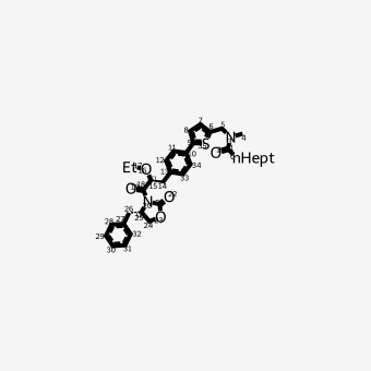 CCCCCCCC(=O)N(C)Cc1ccc(-c2ccc(C[C@H](OCC)C(=O)N3C(=O)OC[C@@H]3Cc3ccccc3)cc2)s1